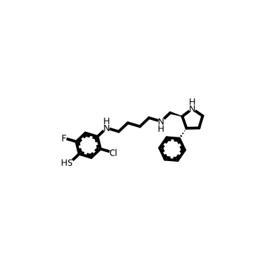 Fc1cc(NCCCCNC[C@H]2NCC[C@@H]2c2ccccc2)c(Cl)cc1S